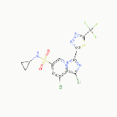 O=S(=O)(NC1CC1)c1cc(Cl)c2c(Cl)nc(-c3nnc(C(F)(F)F)s3)n2c1